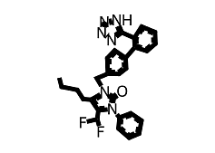 CCCCc1c(C(F)F)n(-c2ccccc2)c(=O)n1Cc1ccc(-c2ccccc2-c2nnn[nH]2)cc1